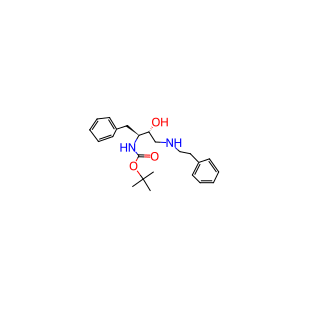 CC(C)(C)OC(=O)N[C@@H](Cc1ccccc1)[C@H](O)CNCCc1ccccc1